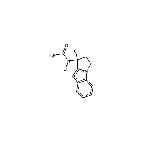 CC1(N(O)C(N)=O)CCn2c1cc1ccccc12